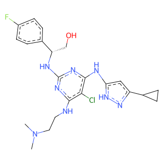 CN(C)CCNc1nc(N[C@@H](CO)c2ccc(F)cc2)nc(Nc2cc(C3CC3)n[nH]2)c1Cl